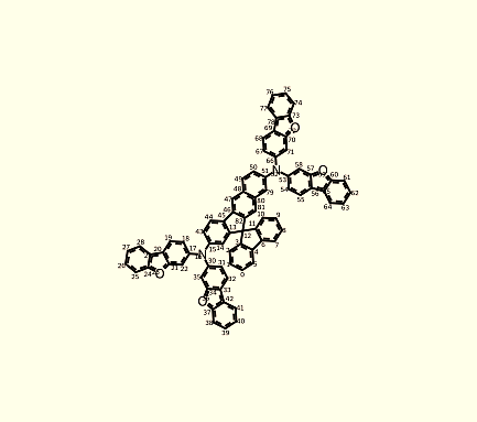 c1ccc2c(c1)-c1ccccc1C21c2cc(N(c3ccc4c(c3)oc3ccccc34)c3ccc4c(c3)oc3ccccc34)ccc2-c2cc3ccc(N(c4ccc5c(c4)oc4ccccc45)c4ccc5c(c4)oc4ccccc45)cc3cc21